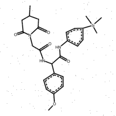 COc1ccc(C(NC(=O)CN2C(=O)CC(C)CC2=O)C(=O)Nc2ccc([Si](C)(C)C)cc2)cc1